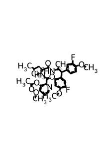 COc1ccc(C(c2ccc(OC)c(F)c2)[C@H](C)NC(=O)[C@H](CC(C)C)NC(=O)c2nccc(OC)c2OC(C)=O)cc1F